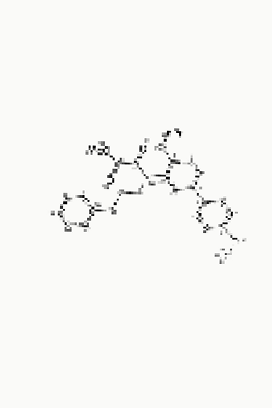 CCCOc1ccc(-c2ccc(OC(F)(F)F)cc2)cc1N(CCCc1ccccc1)C(=O)C(=O)OC